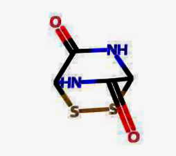 O=C1NC2SSC1NC2=O